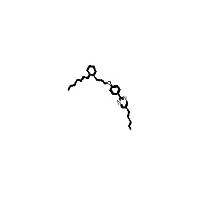 CCCCCCCC1CCCCC1CCCOc1ccc(-c2ncc(CCCCC)cn2)cc1